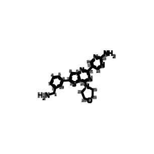 NCc1cccc(-c2cc3nc(-c4cnc(N)nc4)nc(N4CCOCC4)c3s2)c1